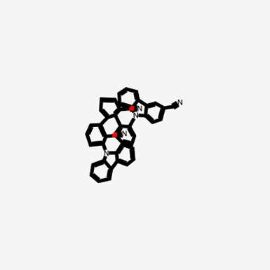 N#Cc1ccc2c(c1)c1ccccc1n2-c1ccccc1-c1c(C#N)cccc1-c1cccc(-n2c3ccccc3c3ccccc32)c1C#N